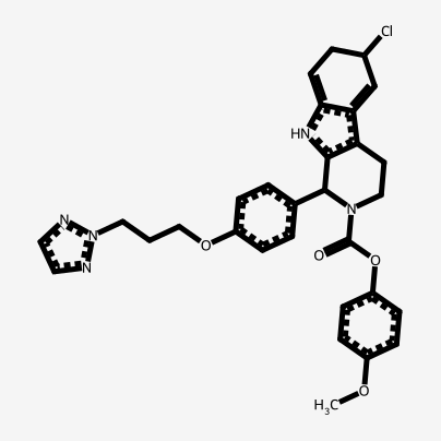 COc1ccc(OC(=O)N2CCc3c([nH]c4c3=CC(Cl)CC=4)C2c2ccc(OCCCn3nccn3)cc2)cc1